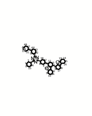 c1ccc(-c2nc(-c3ccc(-c4ccc(-c5cccc6c5oc5ccccc56)c5c4oc4ccccc45)cc3)nc(-c3cccc(-c4cccnc4)c3)n2)cc1